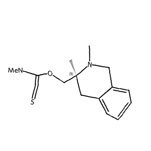 CNC(=S)OC[C@]1(C)Cc2ccccc2CN1C